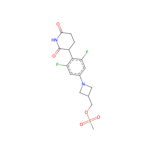 CS(=O)(=O)OCC1CN(c2cc(F)c(C3CCC(=O)NC3=O)c(F)c2)C1